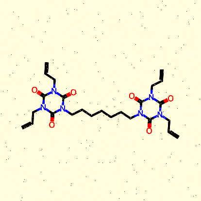 C=CCn1c(=O)n(CC=C)c(=O)n(CCCCCCCn2c(=O)n(CC=C)c(=O)n(CC=C)c2=O)c1=O